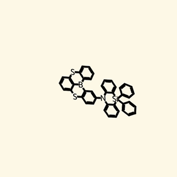 c1ccc([Si]2(c3ccccc3)c3ccccc3N(c3ccc4c(c3)B3c5ccccc5Sc5cccc(c53)S4)c3ccccc32)cc1